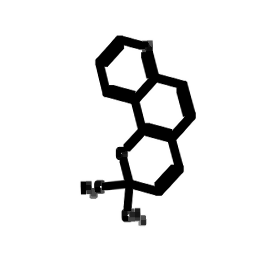 CC1(C)C=Cc2ccc3ncccc3c2O1